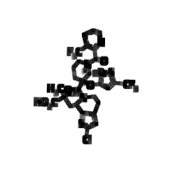 CCC[C@H]1N(C(=O)c2ncccc2C(F)(F)F)CCC[C@@]1(Oc1csc(C(F)(F)F)c1)C(=O)N1CCc2cc(Cl)sc2C1CC(C)(C)C(=O)O